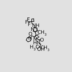 Cc1cc(NCC2(C(F)(F)F)CCC2)ncc1-c1sc(C(=O)NCC(C)(C)O)nc1C(=O)N1C2CCC1CC2